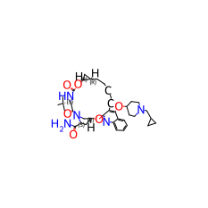 CC(C)(C)[C@@H]1NC(=O)O[C@@H]2C[C@H]2CCCCCc2c(nc3ccccc3c2OC2CCN(CC3CC3)CC2)O[C@@H]2C[C@@H](C(N)=O)N(C2)C1=O